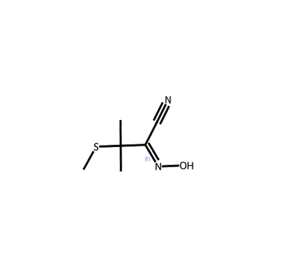 CSC(C)(C)/C(C#N)=N/O